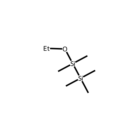 [CH2]CO[Si](C)(C)[Si](C)(C)C